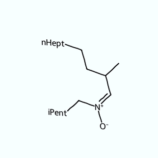 CCCCCCCCCC(C)/C=[N+](/[O-])CC(C)CCC